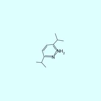 C\C=C(/C=C\C(=N/N)C(C)C)C(C)C